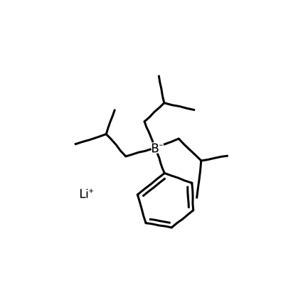 CC(C)C[B-](CC(C)C)(CC(C)C)c1ccccc1.[Li+]